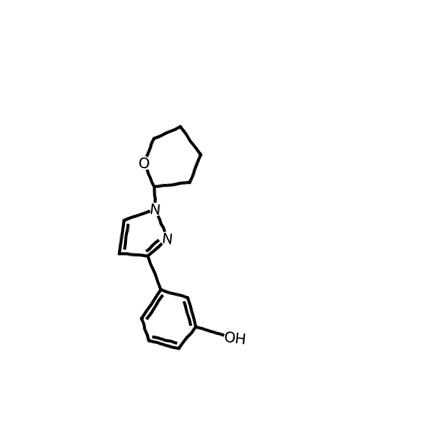 Oc1cccc(-c2ccn(C3CCCCO3)n2)c1